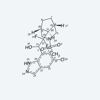 CS(=O)(=O)N1C[C@H]2CC[C@@H](C1)[C@@H]2C(F)(F)C(O)c1cc(Cl)cc2cn[nH]c12